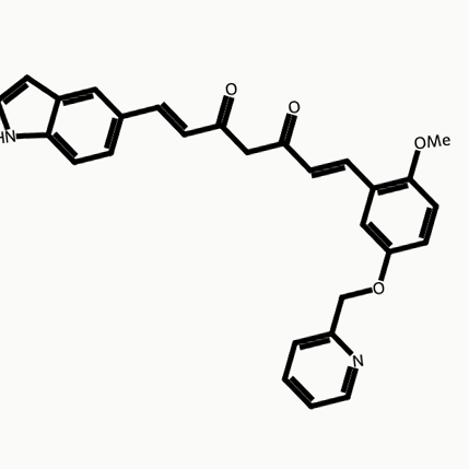 COc1ccc(OCc2ccccn2)cc1C=CC(=O)CC(=O)C=Cc1ccc2[nH]ccc2c1